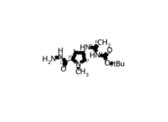 C=C(NC(=O)OC(C)(C)C)N[C@H]1C[C@@H](C(=O)NN)N(C)C1